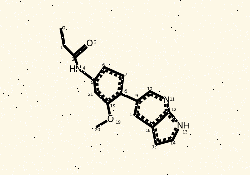 CCC(=O)Nc1ccc(-c2cnc3[nH]ccc3c2)c(OC)c1